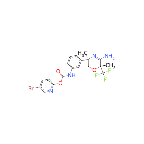 C[C@@]1(c2cccc(NC(=O)Oc3ccc(Br)cn3)c2)CO[C@@](C)(C(F)(F)F)C(N)=N1